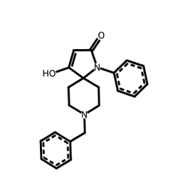 O=C1C=C(O)C2(CCN(Cc3ccccc3)CC2)N1c1ccccc1